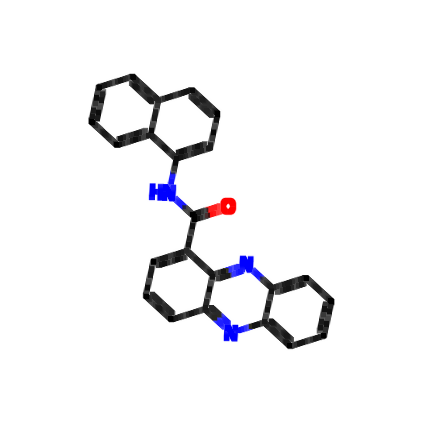 O=C(Nc1cccc2ccccc12)c1cccc2nc3ccccc3nc12